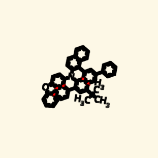 CC(C)(C)c1ccc(N(c2ccc3oc4ccccc4c3c2)c2ccc3ccccc3c2-c2cccc(-c3ccccc3)c2)c(-c2ccccc2)c1